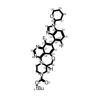 CC(C)(C)OC(=O)N1CCN2c3ncnc4c(F)c(-c5c(F)ccc6c5ncn6C5CCCCO5)cc(c34)OC[C@@H]2C1